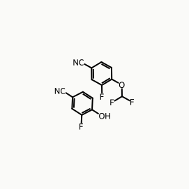 N#Cc1ccc(O)c(F)c1.N#Cc1ccc(OC(F)F)c(F)c1